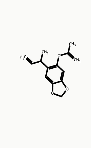 C=CC(C)c1cc2c(cc1OC(=C)C)OCO2